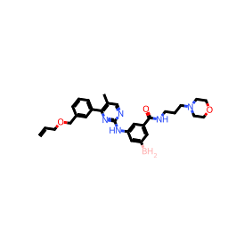 Bc1cc(Nc2ncc(C)c(-c3cccc(COCC=C)c3)n2)cc(C(=O)NCCCN2CCOCC2)c1